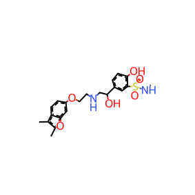 CNS(=O)(=O)c1cc(C(O)CNCCOc2ccc3c(C)c(C)oc3c2)ccc1O